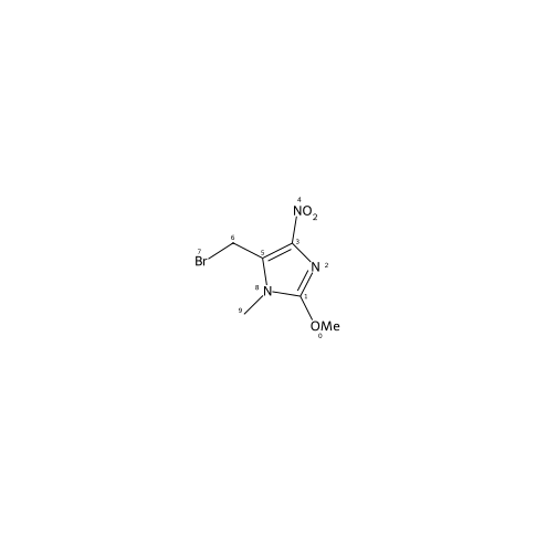 COc1nc([N+](=O)[O-])c(CBr)n1C